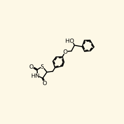 O=C1NC(=O)C(Cc2ccc(OCC(O)c3ccccc3)cc2)S1